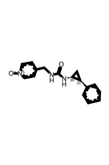 O=C(NCc1cc[n+]([O-])cc1)N[C@@H]1C[C@H]1c1ccccc1